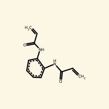 C=CC(=O)Nc1ccccc1NC(=O)C=C